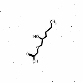 CCCCC(O)COCC(=O)O